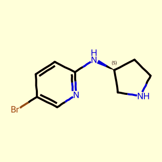 Brc1ccc(N[C@H]2CCNC2)nc1